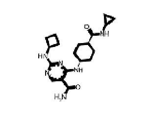 NC(=O)c1cnc(NC2CCC2)nc1N[C@H]1CC[C@H](C(=O)NC2CC2)CC1